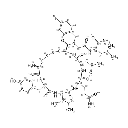 CC[C@H](C)[C@@H]1NC(=O)[C@H](Cc2ccc(O)cc2)NC(=O)[C@@H](N)CSSC[C@@H](C(=O)N(CC(=O)N[C@@H](CC(C)C)C(N)=O)Cc2ccc(F)cc2)NC(=O)[C@H](CC(N)=O)NC(=O)[C@H](CCC(N)=O)NC1=O